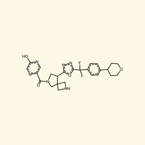 O=C(c1cnc(O)cn1)N1CC(c2nnc(C(F)(F)c3ccc(C4CCOCC4)cc3)o2)C2(CNC2)C1